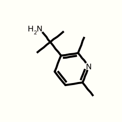 Cc1ccc(C(C)(C)N)c(C)n1